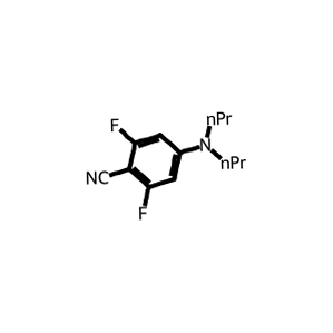 CCCN(CCC)c1cc(F)c(C#N)c(F)c1